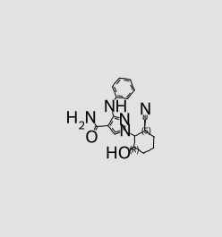 N#C[C@H]1CCC[C@@H](O)C1n1cc(C(N)=O)c(Nc2ccccc2)n1